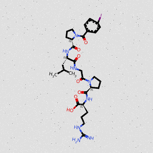 CC(C)C[C@H](NC(=O)[C@@H]1CCCN1C(=O)c1ccc(I)cc1)C(=O)NCC(=O)N1CCC[C@H]1C(=O)N[C@@H](CCCNC(=N)N)C(=O)O